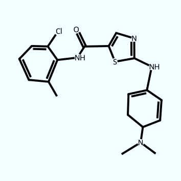 Cc1cccc(Cl)c1NC(=O)c1cnc(NC2=CCC(N(C)C)C=C2)s1